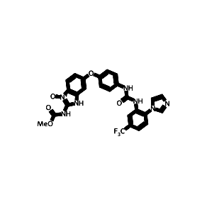 COC(=O)Nc1[nH]c2cc(Oc3ccc(NC(=O)Nc4cc(C(F)(F)F)ccc4-n4ccnc4)cc3)ccc2[n+]1[O-]